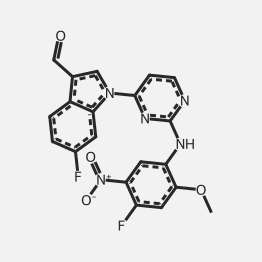 COc1cc(F)c([N+](=O)[O-])cc1Nc1nccc(-n2cc(C=O)c3ccc(F)cc32)n1